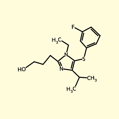 CCn1c(CCCO)nc(C(C)C)c1Sc1cccc(F)c1